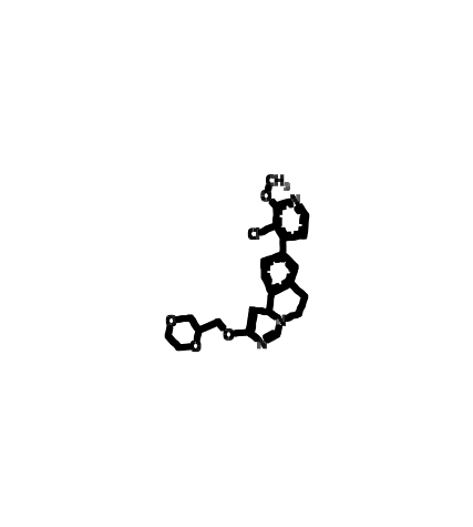 COc1nccc(-c2ccc3c(c2)CCN2C=NC(OCC4COCCO4)=CC32)c1Cl